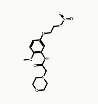 COc1ccc(OCCO[N+](=O)[O-])cc1NC(=O)CN1CCOCC1